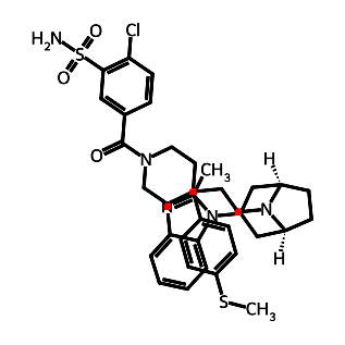 CSc1ccc(C2(CCN3[C@@H]4CC[C@H]3CC(n3c(C)nc5ccccc53)C4)CCN(C(=O)c3ccc(Cl)c(S(N)(=O)=O)c3)CC2)cc1